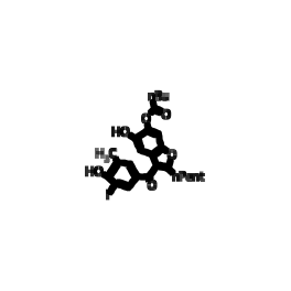 CCCCCc1oc2cc(OC(=O)CCCC)c(O)cc2c1C(=O)c1cc(C)c(O)c(I)c1